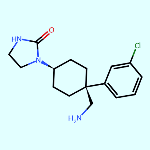 NC[C@]1(c2cccc(Cl)c2)CC[C@H](N2CCNC2=O)CC1